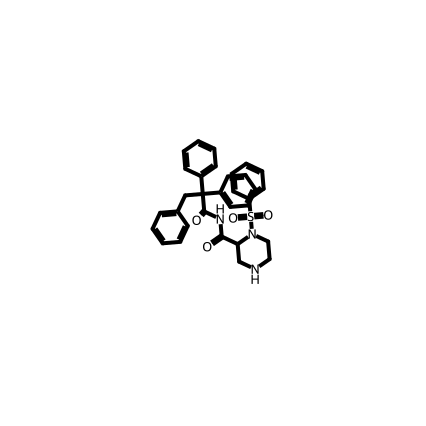 O=C(NC(=O)C(Cc1ccccc1)(c1ccccc1)c1ccccc1)C1CNCCN1S(=O)(=O)c1ccccc1